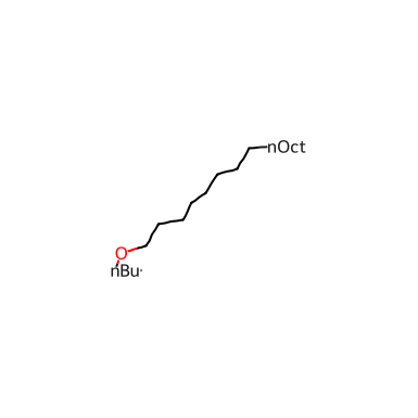 CCC[CH]OCCCCCCCCCCCCCCCC